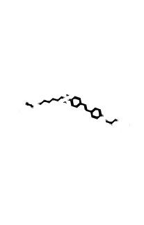 C=C(C)C(=O)OCCCCCCS(=O)(=O)c1ccc(C=Cc2ccc(OC[C@H](C)CC)cc2)cc1